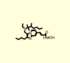 CCCCc1nc2cc(C=CC(=O)NO)ccn2c1CN(CC)C(C)(C)C(C)CCCC